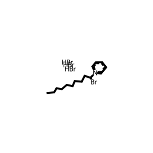 Br.Br.Br.CCCCCCCCCC(Br)[n+]1ccccc1